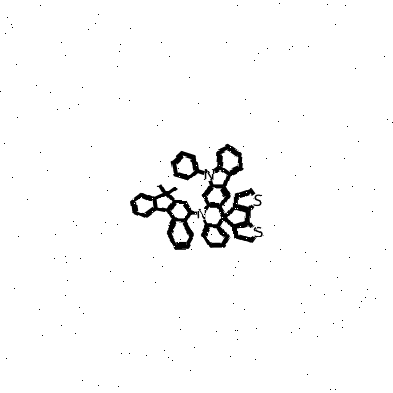 CC1(C)c2ccccc2-c2c1cc(N1c3ccccc3C3(c4cc5c6ccccc6n(-c6ccccc6)c5cc41)c1ccsc1-c1sccc13)c1ccccc21